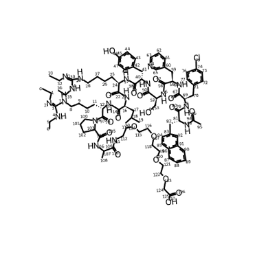 CC/N=C(/NCC)NCCCC[C@H](NC(=O)[C@H](CC(C)C)NC(=O)[C@@H](CCCCN/C(=N/CC)NCC)NC(=O)[C@H](Cc1ccc(O)cc1)NC(=O)[C@H](CO)NC(=O)[C@@H](Cc1cccnc1)NC(=O)[C@@H](Cc1ccc(Cl)cc1)NC(=O)[C@@H](Cc1ccc2ccccc2c1)NC(C)=O)C(=O)N1CCCC1C(=O)NC(C)C(=O)NCCOCCOCCOCCOCC(=O)O